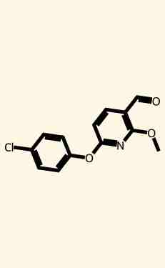 COc1nc(Oc2ccc(Cl)cc2)ccc1C=O